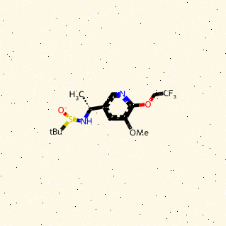 COc1cc([C@@H](C)N[S+]([O-])C(C)(C)C)cnc1OCC(F)(F)F